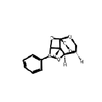 c1ccc(B2O[C@@H]3[C@@H]4COC5(CO4)OC2[C@@H]35)cc1